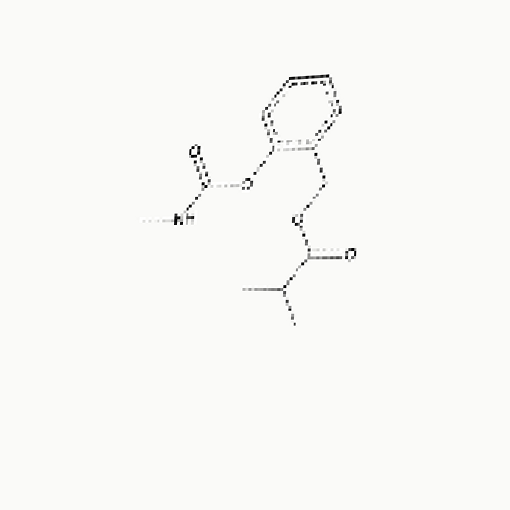 CNC(=O)Oc1ccccc1COC(=O)C(C)C